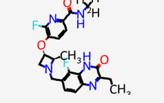 [2H]C([2H])([2H])NC(=O)c1ccc(O[C@H]2CN(Cc3ccc4nc(CC)c(=O)[nH]c4c3F)[C@@H]2C)c(F)n1